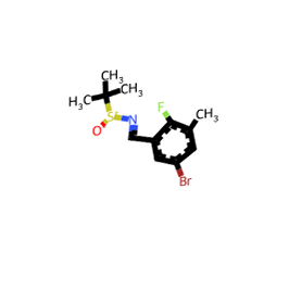 Cc1cc(Br)cc(C=N[S+]([O-])C(C)(C)C)c1F